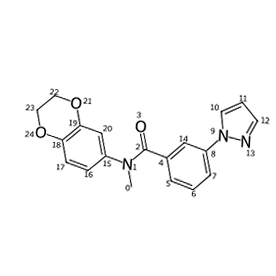 CN(C(=O)c1cccc(-n2cccn2)c1)c1ccc2c(c1)OCCO2